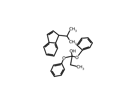 CC(C)C1C=Cc2ccccc21.CCC(O)(Oc1ccccc1)Oc1ccccc1